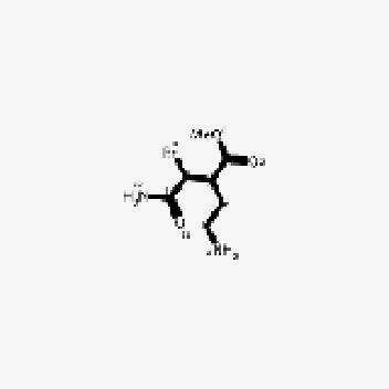 COC(=O)C(CCN)C(Br)C(N)=O